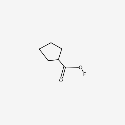 O=C(OF)C1CCCC1